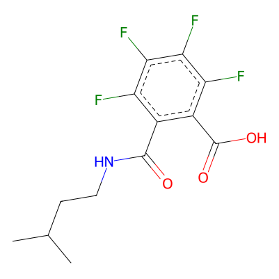 CC(C)CCNC(=O)c1c(F)c(F)c(F)c(F)c1C(=O)O